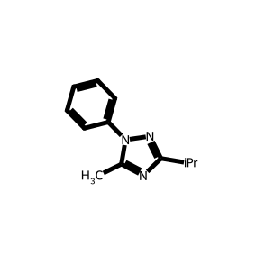 Cc1nc(C(C)C)nn1-c1ccccc1